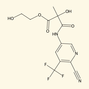 CC(O)(C(=O)Nc1cnc(C#N)c(C(F)(F)F)c1)C(=O)OCCO